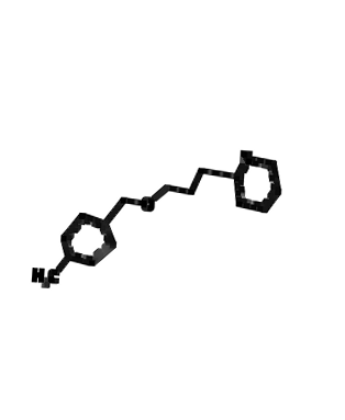 Cc1ccc(COCCCc2ccccn2)cc1